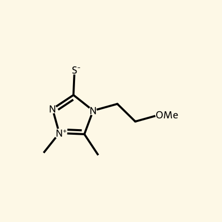 COCCn1c([S-])n[n+](C)c1C